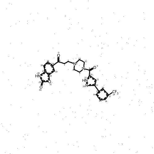 O=C(CCN1CCN(C(=O)c2cc(-c3cccc(C(F)(F)F)c3)n[nH]2)CC1)c1ccc2[nH]c(=O)oc2c1